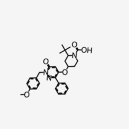 COc1ccc(Cn2nc(-c3ccccc3)c(OC3CCN(C(=O)O)C(C(C)(C)C)C3)cc2=O)cc1